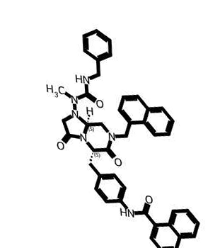 CN(C(=O)NCc1ccccc1)N1CC(=O)N2[C@@H](Cc3ccc(NC(=O)c4cccc5ccccc45)cc3)C(=O)N(Cc3cccc4ccccc34)C[C@@H]21